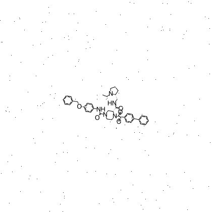 CCN1CCC[C@@H]1CNC(=O)[C@H]1CN(C(=O)Nc2ccc(OCc3ccccc3)cc2)CCN1S(=O)(=O)c1ccc(-c2ccccc2)cc1